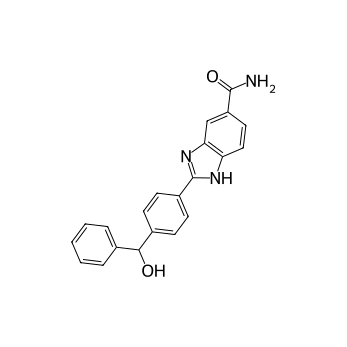 NC(=O)c1ccc2[nH]c(-c3ccc(C(O)c4ccccc4)cc3)nc2c1